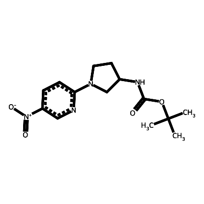 CC(C)(C)OC(=O)NC1CCN(c2ccc([N+](=O)[O-])cn2)C1